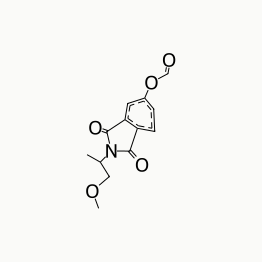 COCC(C)N1C(=O)c2ccc(OC=O)cc2C1=O